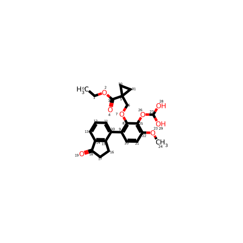 CCOC(=O)C1(COc2c(-c3cccc4c3CCC4=O)ccc(OC)c2OC(O)O)CC1